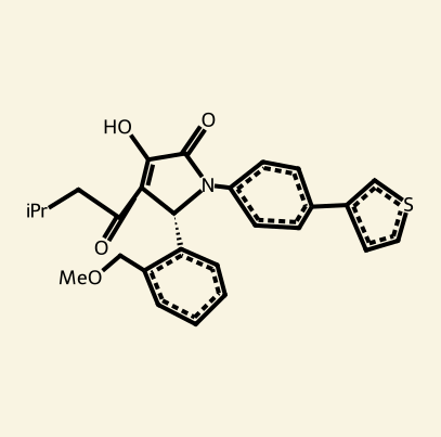 COCc1ccccc1[C@@H]1C(C(=O)CC(C)C)=C(O)C(=O)N1c1ccc(-c2ccsc2)cc1